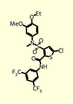 CCOc1ccc(N(C)S(=O)(=O)c2cc(Cl)sc2C(=O)Nc2cc(C(F)(F)F)cc(C(F)(F)F)c2)cc1OC